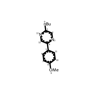 CCCCc1cnc(-c2ccc(OC)cc2)cn1